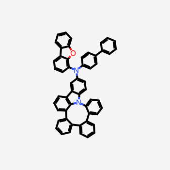 c1ccc(-c2ccc(N(c3ccc4c(c3)c3cccc5c6ccccc6c6ccccc6c6ccccc6n4c53)c3cccc4c3oc3ccccc34)cc2)cc1